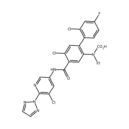 CCN(C(=O)O)c1cc(C(=O)Nc2cnc(-n3nccn3)c(Cl)c2)c(Cl)cc1-c1ccc(F)cc1Cl